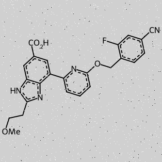 COCCc1nc2c(-c3cccc(OCc4ccc(C#N)cc4F)n3)cc(C(=O)O)cc2[nH]1